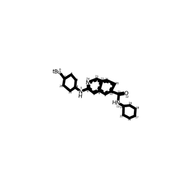 CC(C)(C)C1CCC(Nc2cc3cc(C(=O)NC4CCCCC4)ccc3cn2)CC1